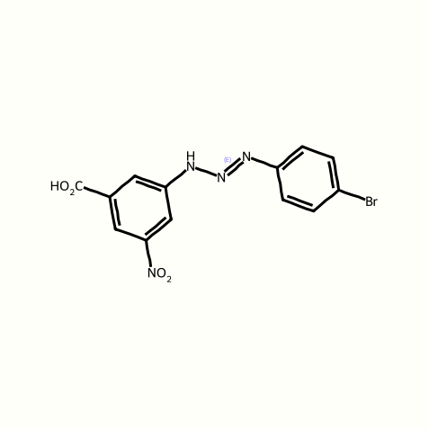 O=C(O)c1cc(N/N=N/c2ccc(Br)cc2)cc([N+](=O)[O-])c1